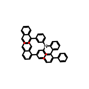 c1ccc(-c2ccccc2-c2ccccc2N(c2cccc(-c3cccc4ccccc34)c2)c2cccc(-c3cccc4ccccc34)c2)cc1